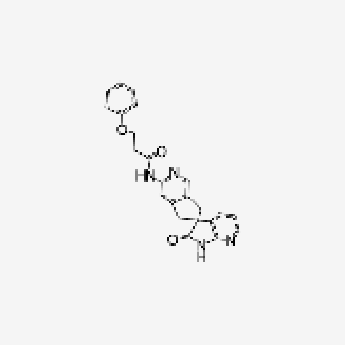 O=C(CCOc1ccccc1)Nc1cc2c(cn1)CC1(C2)C(=O)Nc2ncccc21